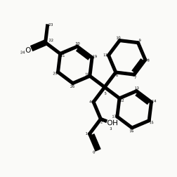 C=CC(O)CC(C1C=CCCC1)(C1C=CCCC1)C1C=CC(C(C)=O)CC1